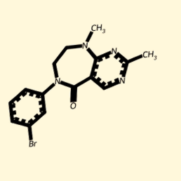 Cc1ncc2c(n1)N(C)CCN(c1cccc(Br)c1)C2=O